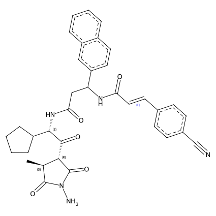 C[C@@H]1C(=O)N(N)C(=O)[C@H]1C(=O)[C@@H](NC(=O)CC(NC(=O)/C=C/c1ccc(C#N)cc1)c1ccc2ccccc2c1)C1CCCC1